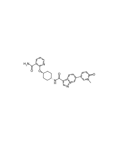 Cn1cc(-c2ccc3c(C(=O)N[C@H]4CC[C@H](Oc5ncccc5C(N)=O)CC4)cnn3c2)ccc1=O